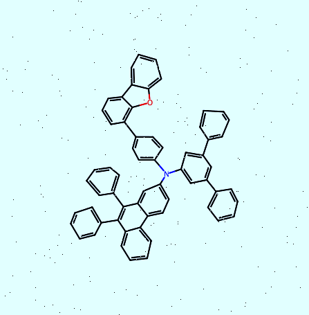 c1ccc(-c2cc(-c3ccccc3)cc(N(c3ccc(-c4cccc5c4oc4ccccc45)cc3)c3ccc4c(c3)c(-c3ccccc3)c(-c3ccccc3)c3ccccc34)c2)cc1